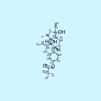 C#C[C@]1(O)C[C@@H](C)[C@H]2[C@@H]3[C@H](CC)Cc4cc(OC(=O)C(C)(C)C)ccc4[C@H]3CC[C@@]21C